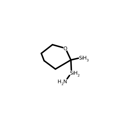 N[SiH2]C1([SiH3])CCCCO1